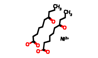 CCCC(=O)CCCCCC(=O)[O-].CCCC(=O)CCCCCC(=O)[O-].[Ni+2]